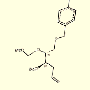 C=CC[C@@H](OC)[C@@H](COCc1ccc(OC)cc1)OCOC